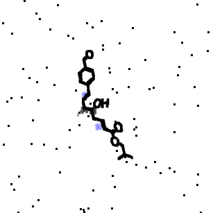 CC(C)COC(=O)/C=C/C[C@H](O)[C@H](C)/C=C/c1ccc(C=O)cc1